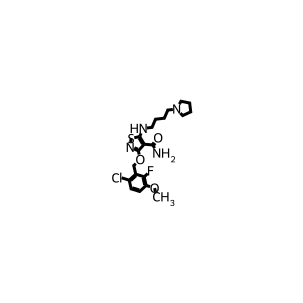 COc1ccc(Cl)c(COc2nsc(NCCCCN3CCCC3)c2C(N)=O)c1F